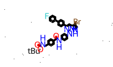 CC(C)(C)OC(=O)NCc1ccc(C(=O)Nc2ccc(Nc3nc(-c4ccc(-c5ccc(F)cc5)cc4)cc4c(Br)cnn34)cc2)cc1